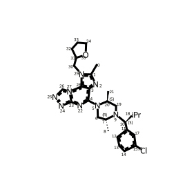 Cc1nc2c(N3C[C@@H](C)N([C@H](c4cccc(Cl)c4)C(C)C)C[C@@H]3C)nc3nncn3c2n1CC1CCCO1